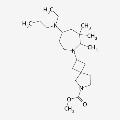 CCCN(CC)C1CCN(C2CC3(CCN(C(=O)OC)C3)C2)C(C)C(C)(C)C1